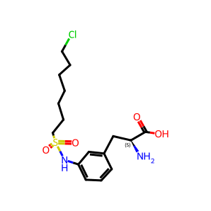 N[C@@H](Cc1cccc(NS(=O)(=O)CCCCCCCCl)c1)C(=O)O